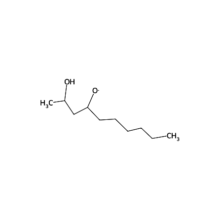 CCCCCCC([O])CC(C)O